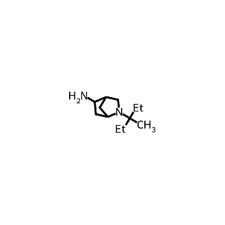 CCC(C)(CC)N1CC2CC1CC2N